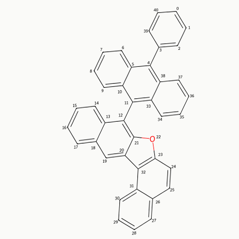 c1ccc(-c2c3ccccc3c(-c3c4ccccc4cc4c3oc3ccc5ccccc5c34)c3ccccc23)cc1